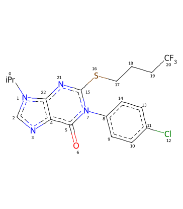 CC(C)n1cnc2c(=O)n(-c3ccc(Cl)cc3)c(SCCCC(F)(F)F)nc21